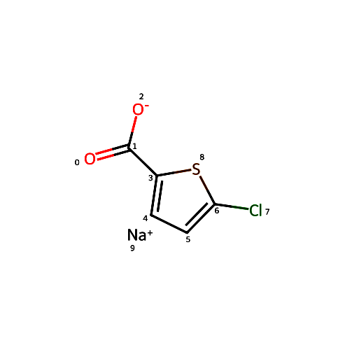 O=C([O-])c1ccc(Cl)s1.[Na+]